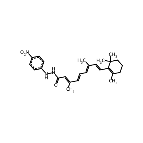 CC(C=CC1=C(C)CCCC1(C)C)=CC=CC(C)=CC(=O)NNc1ccc([N+](=O)[O-])cc1